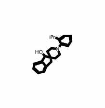 CC(C)c1ccccc1N1CCC2(CC1)Cc1ccccc1C2O